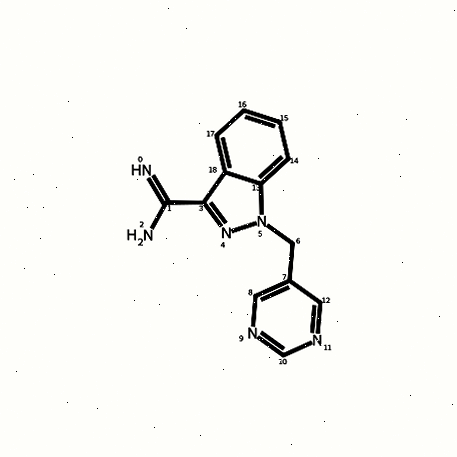 N=C(N)c1nn(Cc2cncnc2)c2ccccc12